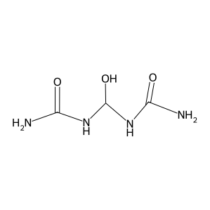 NC(=O)NC(O)NC(N)=O